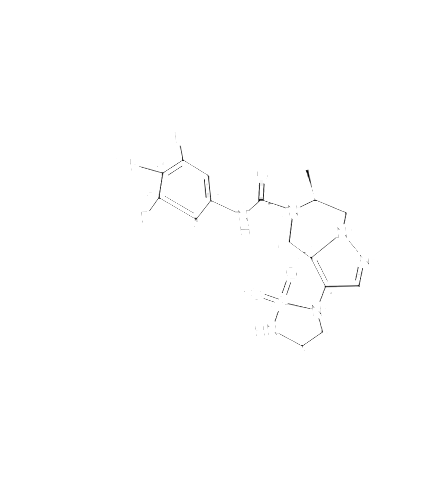 C[C@H]1Cn2ncc(N3CCNS3(=O)=O)c2CN1C(=O)Nc1cc(F)c(F)c(F)c1